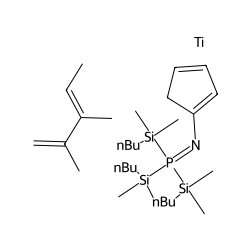 C=C(C)C(C)=CC.CCCC[Si](C)(C)P(=NC1=CC=CC1)([Si](C)(C)CCCC)[Si](C)(C)CCCC.[Ti]